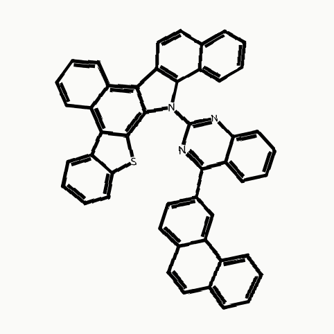 c1ccc2c(c1)ccc1ccc(-c3nc(-n4c5c6ccccc6ccc5c5c6ccccc6c6c7ccccc7sc6c54)nc4ccccc34)cc12